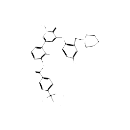 Cc1c(NC(=O)c2ccc(C(C)(C)C)cc2)cccc1-c1cc(Nc2ccc(N)cc2CN2CCCCC2)c(=O)n(C)c1